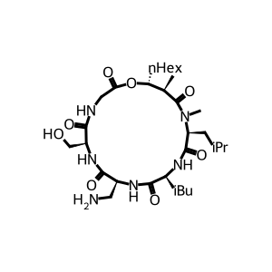 CCCCCC[C@H]1OC(=O)CNC(=O)[C@H](CO)NC(=O)[C@H](CN)NC(=O)[C@H](C(C)CC)NC(=O)[C@H](CC(C)C)N(C)C(=O)[C@@H]1C